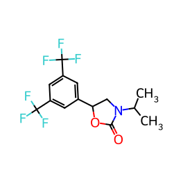 CC(C)N1CC(c2cc(C(F)(F)F)cc(C(F)(F)F)c2)OC1=O